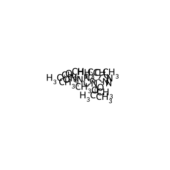 Cc1c(-c2c(C(C)C)c3nc(N4C[C@@H](C)N(C(=O)OC(C)(C)C)C[C@@H]4C)ccc3n2C(=O)OC(C)(C)C)cn2ncnc2c1C